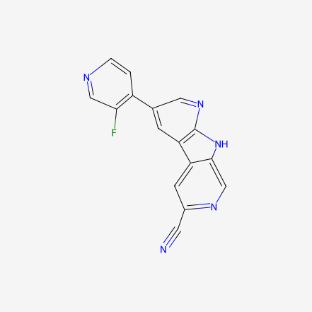 N#Cc1cc2c(cn1)[nH]c1ncc(-c3ccncc3F)cc12